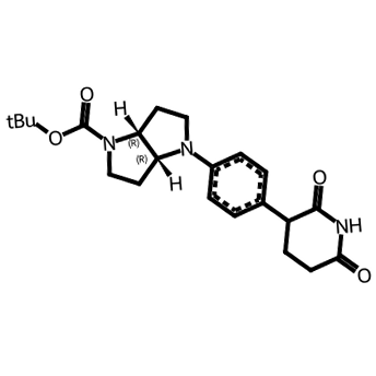 CC(C)(C)OC(=O)N1CC[C@@H]2[C@H]1CCN2c1ccc(C2CCC(=O)NC2=O)cc1